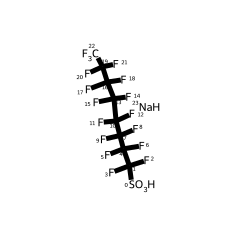 O=S(=O)(O)C(F)(F)C(F)(F)C(F)(F)C(F)(F)C(F)(F)C(F)(F)C(F)(F)C(F)(F)F.[NaH]